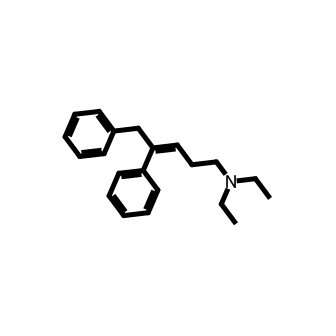 CCN(CC)CCC=C(Cc1ccccc1)c1ccccc1